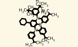 CC(C)c1cccc(N2c3cc(C(C)C)ccc3B3c4ccc(C(C)C)cc4N(c4cc(C(C)(C)C)cc(C(C)(C)C)c4)c4cc(C5CCCCC5)cc2c43)c1